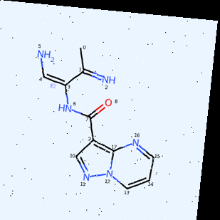 CC(=N)/C(=C\N)NC(=O)c1cnn2cccnc12